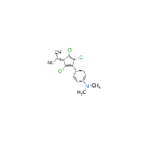 CN(C)c1ccc(C2=C(Cl)C(=C(C#N)C#N)C(Cl)=C2Cl)cc1